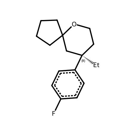 CC[C@@]1(c2ccc(F)cc2)CCOC2(CCCC2)C1